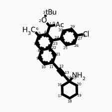 CC(=O)C(OC(C)(C)C)c1c(C)cc2ccc(C#CC3(N)CCCCC3)cc2c1-c1ccc(Cl)cc1